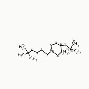 CC(C)(C)CCCCN1CCC(CC(C)(C)C)CC1